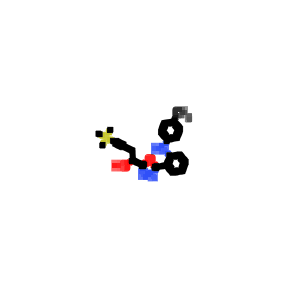 CS(C)(C)C#CCC(O)c1nnc(-c2ccccc2Nc2ccc(C(F)(F)F)cc2)o1